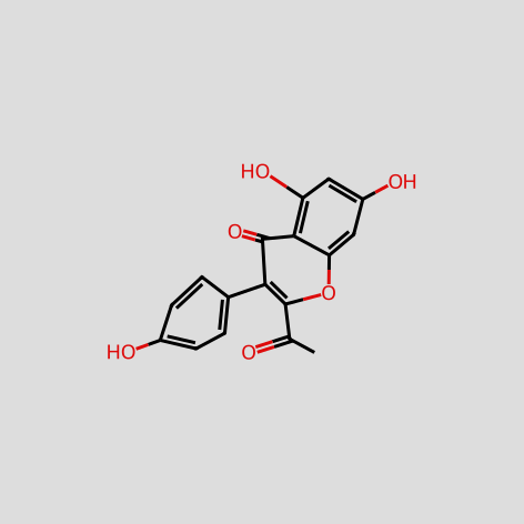 CC(=O)c1oc2cc(O)cc(O)c2c(=O)c1-c1ccc(O)cc1